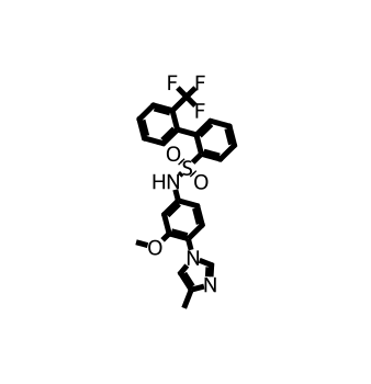 COc1cc(NS(=O)(=O)c2ccccc2-c2ccccc2C(F)(F)F)ccc1-n1cnc(C)c1